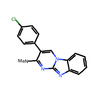 CNc1nc2nc3ccccc3n2cc1-c1ccc(Cl)cc1